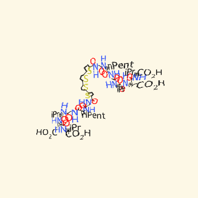 CCCCC[C@H](NC(=O)CNC(=O)c1ccc(-c2ccc(-c3ccc(-c4ccc(C(=O)NCC(=O)N[C@@H](CCCCC)C(=O)NCC(=O)N[C@H](C(=O)C(=O)NC[C@@H](CCC(=O)O)C(=O)N[C@H](C(=O)O)C(C)C)C(C)C)s4)s3)s2)s1)C(=O)NCC(=O)N[C@H](C(=O)N[C@@H](CCC(=O)O)C(=O)N[C@H](C(=O)O)C(C)C)C(C)C